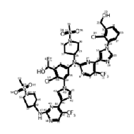 CCC(O)c1cc(N(c2ncc(C(F)(F)F)c(-c3cn(-c4cccc(CO)c4Cl)cn3)n2)C2CCN(S(C)(=O)=O)CC2)cc(-n2cnc(-c3nc(NC4CCN(S(C)(=O)=O)CC4)ncc3C(F)(F)F)c2)c1Cl